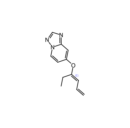 C=C/C=C(\CC)Oc1ccn2ncnc2c1